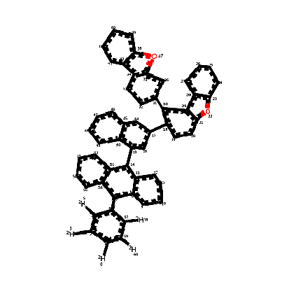 [2H]c1c([2H])c([2H])c(-c2c3ccccc3c(-c3cc(-c4ccc5oc6ccccc6c5c4-c4ccc5c(c4)oc4ccccc45)cc4ccccc34)c3ccccc23)c([2H])c1[2H]